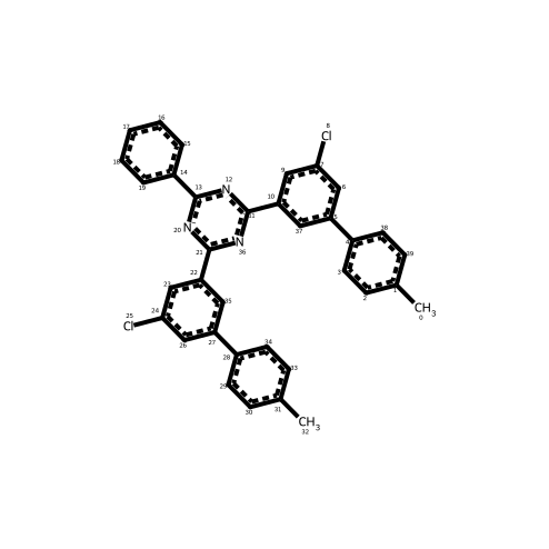 Cc1ccc(-c2cc(Cl)cc(-c3nc(-c4ccccc4)nc(-c4cc(Cl)cc(-c5ccc(C)cc5)c4)n3)c2)cc1